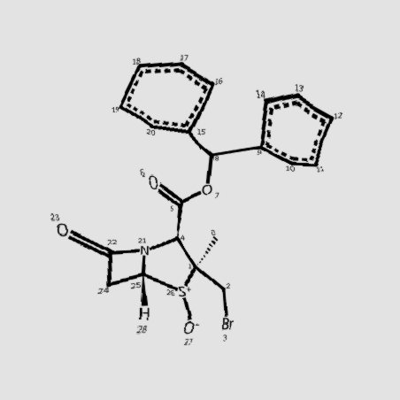 C[C@@]1(CBr)[C@H](C(=O)OC(c2ccccc2)c2ccccc2)N2C(=O)C[C@H]2[S+]1[O-]